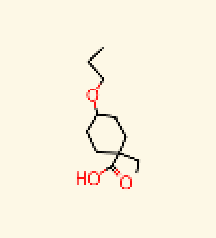 CCCOC1CCC(CC)(C(=O)O)CC1